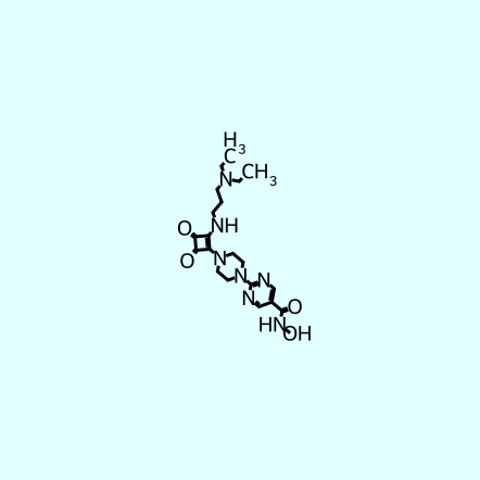 CCN(CC)CCCNc1c(N2CCN(c3ncc(C(=O)NO)cn3)CC2)c(=O)c1=O